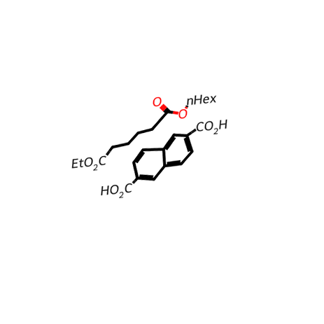 CCCCCCOC(=O)CCCCC(=O)OCC.O=C(O)c1ccc2cc(C(=O)O)ccc2c1